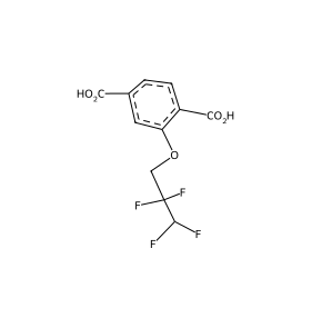 O=C(O)c1ccc(C(=O)O)c(OCC(F)(F)C(F)F)c1